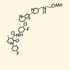 COCCNCc1ccc(-c2cc3nccc(Oc4ccc(NC(=O)c5c(C)ccn(-c6ccc(F)cc6)c5=O)cc4F)c3s2)nc1